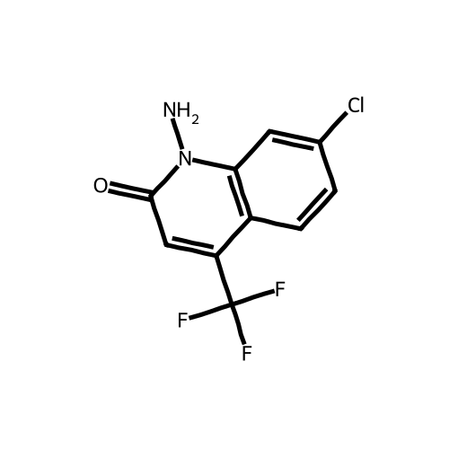 Nn1c(=O)cc(C(F)(F)F)c2ccc(Cl)cc21